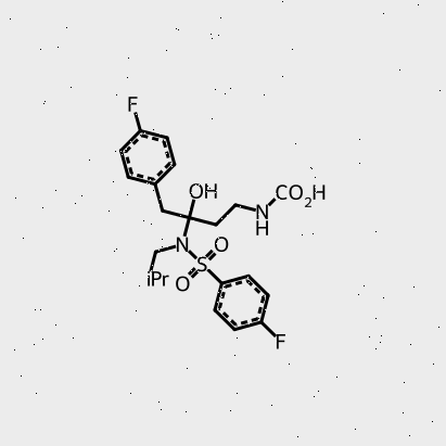 CC(C)CN(C(O)(CCNC(=O)O)Cc1ccc(F)cc1)S(=O)(=O)c1ccc(F)cc1